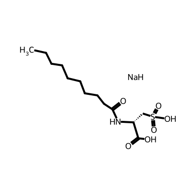 CCCCCCCCCC(=O)N[C@H](CS(=O)(=O)O)C(=O)O.[NaH]